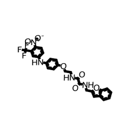 O=C(NCCOc1ccc(Nc2ccc([N+](=O)[O-])c(C(F)(F)F)c2)cc1)C(=O)NCc1cc2ccccc2o1